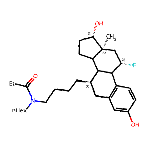 CCCCCCN(CCCC[C@@H]1Cc2cc(O)ccc2C2C1C1CC[C@H](O)[C@@]1(C)C[C@@H]2F)C(=O)CC